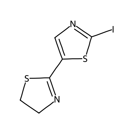 Ic1ncc(C2=NCCS2)s1